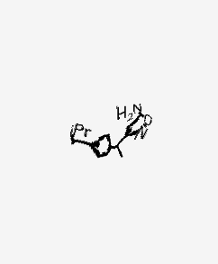 CC(C)Cc1ccc(C(C)c2cc(N)on2)cc1